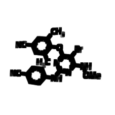 CONc1nc(Nc2ccc(C#N)cc2)nc(Oc2c(C)cc(C#N)cc2C)c1Br